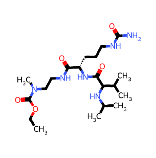 CCOC(=O)N(C)CCNC(=O)[C@H](CCCNC(N)=O)NC(=O)C(NC(C)C)C(C)C